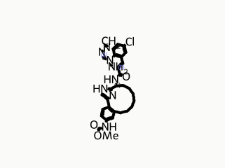 C=N/N=C\N(N)c1ccc(Cl)cc1/C=C/C(=O)N[C@H]1CCCCCCCc2cc(NC(=O)OC)ccc2-c2c[nH]c1n2